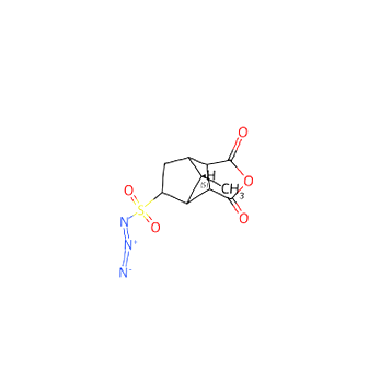 C[C@H]1C2CC(S(=O)(=O)N=[N+]=[N-])C1C1C(=O)OC(=O)C12